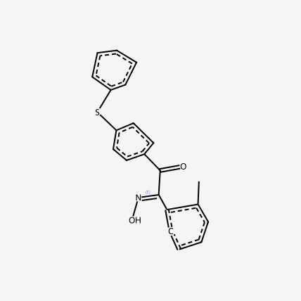 Cc1ccccc1/C(=N\O)C(=O)c1ccc(Sc2ccccc2)cc1